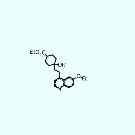 CCOC(=O)C1CCC(O)(CCc2ccnc3ccc(OCC)cc23)CC1